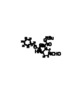 CC(C)(C)OC(=O)N[C@@H]1CN(C=O)CC[C@@H]1NC(=O)OCc1ccccc1